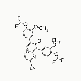 COc1cc(-c2cn3ccc(C4CC4)nc3c(-c3ccc(OC(F)F)c(OC)c3)c2=O)ccc1OC(F)F